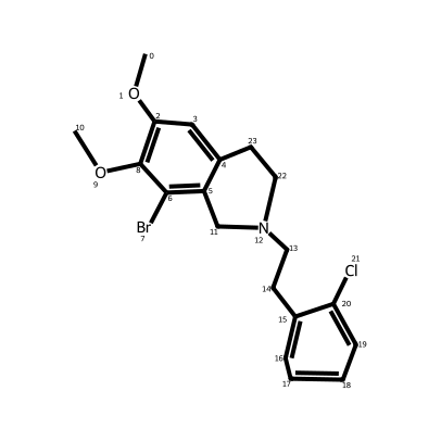 COc1cc2c(c(Br)c1OC)CN(CCc1ccccc1Cl)CC2